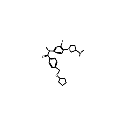 CN(C(=O)c1ccc(COC2CCCC2)cc1)c1ccc(N2CCC(N(C)C)C2)c(F)c1